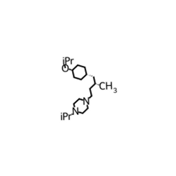 CC(C)O[C@H]1CC[C@H](C[C@H](C)CCN2CCN(C(C)C)CC2)CC1